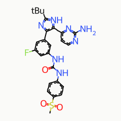 CC(C)(C)c1nc(-c2cc(F)cc(NC(=O)Nc3ccc(S(C)(=O)=O)cc3)c2)c(-c2ccnc(N)n2)[nH]1